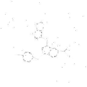 NC(=O)c1ccc2c(c1)c(Cc1c[nH]c3ncsc13)cn2Cc1ccc(F)cc1